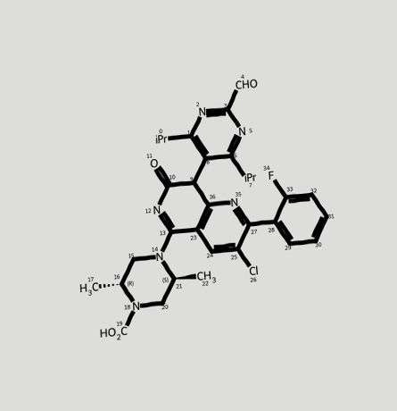 CC(C)c1nc(C=O)nc(C(C)C)c1C1C(=O)N=C(N2C[C@@H](C)N(C(=O)O)C[C@@H]2C)c2cc(Cl)c(-c3ccccc3F)nc21